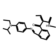 C=C(NC)/C(=C/C)C(=O)c1ccccc1/C=N/c1ccc(N(CC)C(C)C)cc1